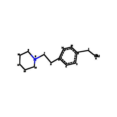 CC(C)(C)Cc1ccc(CCN2CCCCC2)cc1